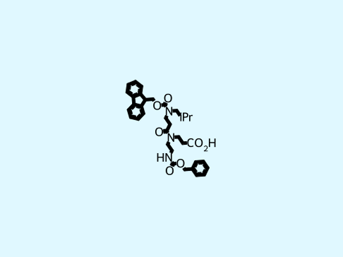 CC(C)CN(CCC(=O)N(CCNC(=O)OCc1ccccc1)CCC(=O)O)C(=O)OCC1c2ccccc2-c2ccccc21